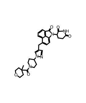 CC1(C(=O)N2CCC(n3cc(Cc4ccc5c6c(cccc46)C(=O)N5C4CCC(=O)NC4=O)cn3)CC2)CCOCC1